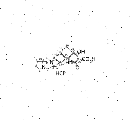 Cl.Cn1c(CN2CCCC2(C)C)cc2cc3c(cc21)CCCc1c-3[nH]c(=O)c(C(=O)O)c1O